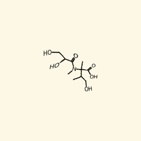 CC(CO)C(C)(C(=O)O)N(C)C(=O)C(O)CO